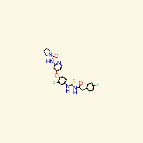 O=C(Cc1ccc(F)cc1)NC(=S)Nc1ccc(Oc2ccnc(NC(=O)N3CCCC3)c2)c(F)c1